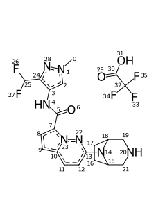 Cn1cc(NC(=O)c2ccc3ccc(N4C5CCC4CNC5)nn23)c(C(F)F)n1.O=C(O)C(F)(F)F